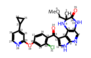 COCC1(C)Nc2c(cnc3[nH]cc(C(=O)c4ccc(Oc5cc(C6CC6)ccn5)cc4Cl)c23)NC1=O